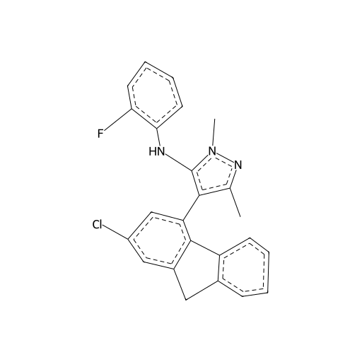 Cc1nn(C)c(Nc2ccccc2F)c1-c1cc(Cl)cc2c1-c1ccccc1C2